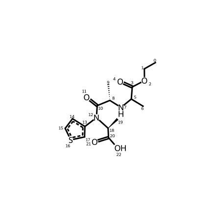 CCOC(=O)C(C)N[C@@H](C)C(=O)N(c1ccsc1)[C@@H](C)C(=O)O